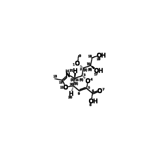 CO[C@@H]([C@@H]1OC(C(=O)O)=C[C@H]2OC(C)=N[C@H]12)[C@H](O)CO